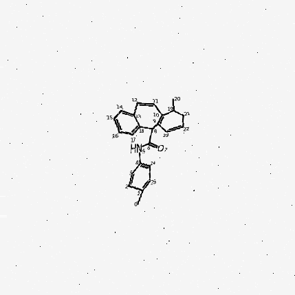 Cc1ccc(NC(=O)C2C3=C(C=Cc4ccccc42)C(C)CC=C3)cc1